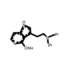 COc1nccc2[nH]cc(CCN(C(C)C)C(C)C)c12